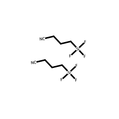 N#CCCC[Si](F)(F)F.N#CCCC[Si](F)(F)F